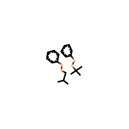 CC(C)(C)SSc1ccccc1.CC(C)CSSc1ccccc1